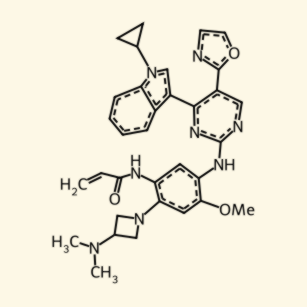 C=CC(=O)Nc1cc(Nc2ncc(-c3ncco3)c(-c3cn(C4CC4)c4ccccc34)n2)c(OC)cc1N1CC(N(C)C)C1